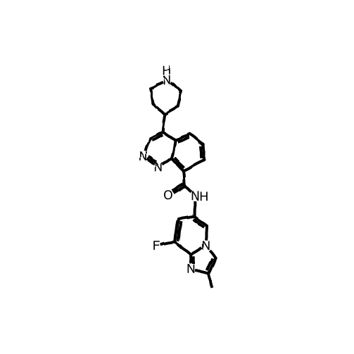 Cc1cn2cc(NC(=O)c3cccc4c(C5CCNCC5)cnnc34)cc(F)c2n1